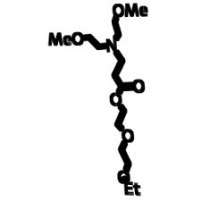 CCOCCOCCOC(=O)CCN(CCOC)CCOC